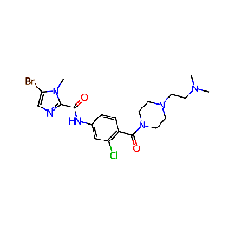 CN(C)CCN1CCN(C(=O)c2ccc(NC(=O)c3ncc(Br)n3C)cc2Cl)CC1